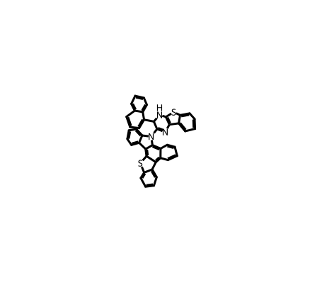 c1ccc2c(C3Nc4sc5ccccc5c4N=C3n3c4ccccc4c4c5sc6ccccc6c5c5ccccc5c43)cccc2c1